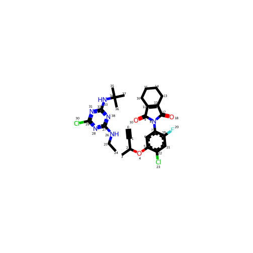 C#CC(C)Oc1cc(N2C(=O)C3=C(CCCC3)C2=O)c(F)cc1Cl.CCNc1nc(Cl)nc(NC(C)(C)C)n1